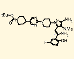 CNc1c(N)nn(C2CCN(c3ncc(C4CCN(C(=O)OC(C)(C)C)CC4)cn3)CC2)c1/C=C(\N)c1cc(F)ccc1O